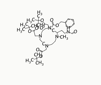 CN1CCN(CC(=O)OC(C)(C)C)CCN(CC(=O)OC(C)(C)C)CC[N+](CC(=O)OC(C)(C)C)(C(=O)OCc2ccccc2)CC1CCNC=O